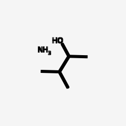 CC(C)C(C)O.N